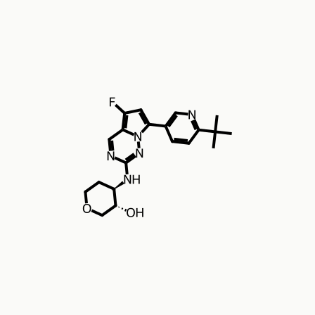 CC(C)(C)c1ccc(-c2cc(F)c3cnc(N[C@@H]4CCOC[C@H]4O)nn23)cn1